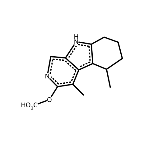 Cc1c(OC(=O)O)ncc2[nH]c3c(c12)C(C)CCC3